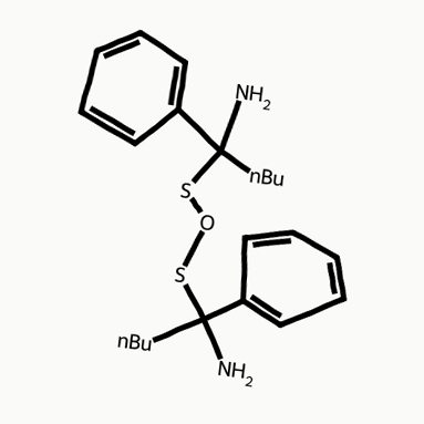 CCCCC(N)(SOSC(N)(CCCC)c1ccccc1)c1ccccc1